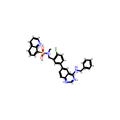 CN(Cc1cc(-c2ccc3ncnc(NCc4ccccc4)c3c2)ccc1F)S(=O)(=O)c1cccc2cccnc12